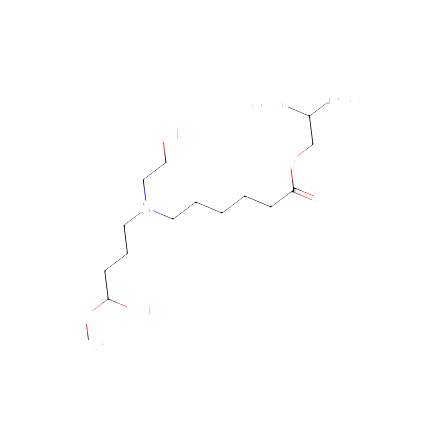 CCCCCCCCCCOC(O)CCCN(CCO)CCCCCC(=O)OCC(CCCCCCCC)CCCCCCCC